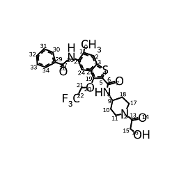 Cc1cc2sc(C(=O)NC3CCN(C(=O)CO)CC3)c(OCC(F)(F)F)c2cc1NC(=O)c1ccccc1